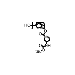 CC(C)(C)OC(=O)N[C@@H]1CCN(C(=O)OC2C3CC4CC2CC(C(C)(C)O)(C4)C3)C1